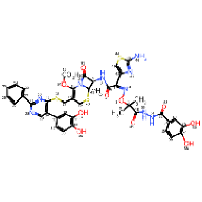 CC(C)(O/N=C(\C(=O)N[C@@H]1C(=O)N2C(OC(=O)O)=C(CSc3nc(-c4ccccc4)ncc3-c3ccc(O)c(O)c3)CS[C@H]12)c1csc(N)n1)C(=O)NNC(=O)c1ccc(O)c(O)c1